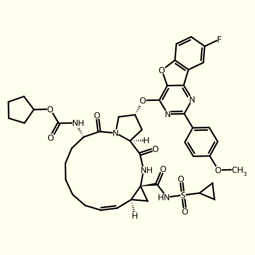 COc1ccc(-c2nc(O[C@@H]3C[C@H]4C(=O)N[C@]5(C(=O)NS(=O)(=O)C6CC6)C[C@H]5/C=C\CCCCC[C@H](NC(=O)OC5CCCC5)C(=O)N4C3)c3oc4ccc(F)cc4c3n2)cc1